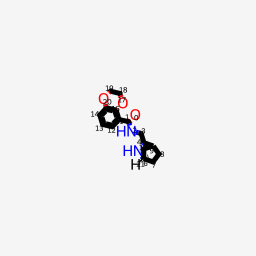 O=C(NCC1N[C@@H]2CCC1C2)c1cccc2c1OCCO2